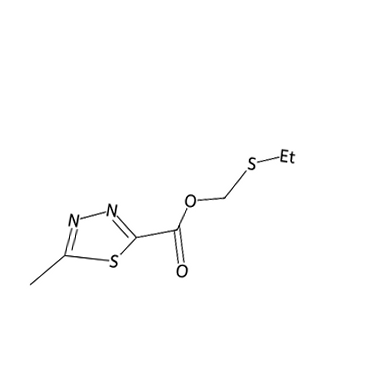 CCSCOC(=O)c1nnc(C)s1